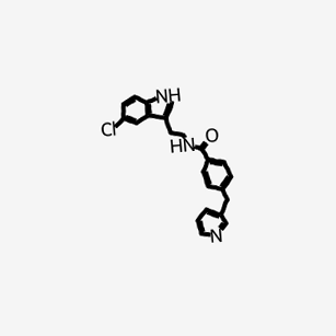 O=C(NCCc1c[nH]c2ccc(Cl)cc12)c1ccc(Cc2cccnc2)cc1